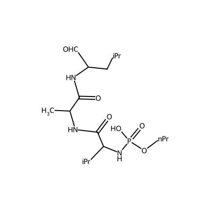 CCCOP(=O)(O)NC(C(=O)NC(C)C(=O)NC(C=O)CC(C)C)C(C)C